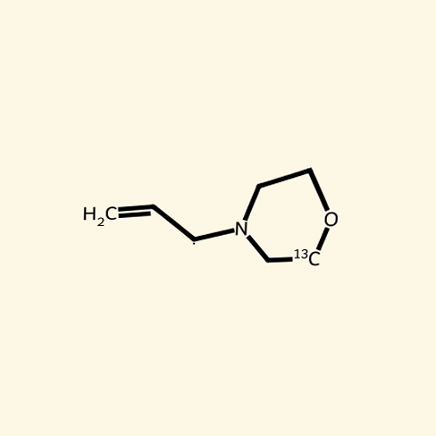 C=C[CH]N1CCO[13CH2]C1